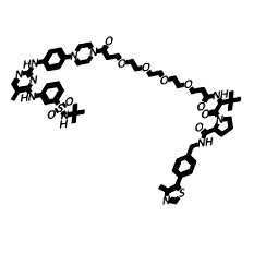 Cc1cnc(Nc2ccc(N3CCN(C(=O)CCOCCOCCOCCOCCC(=O)NC(C(=O)N4CCCC4C(=O)NCc4ccc(-c5scnc5C)cc4)C(C)(C)C)CC3)cc2)nc1Nc1cccc(S(=O)(=O)NC(C)(C)C)c1